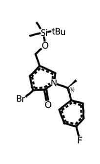 C[C@@H](c1ccc(F)cc1)n1cc(CO[Si](C)(C)C(C)(C)C)cc(Br)c1=O